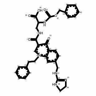 O=C(NC(CNC(=O)c1cn(CCc2ccccc2)c2cc(CNC3=NCCN3)ccc2c1=O)C(=O)O)OCc1ccccc1